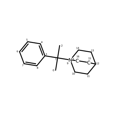 CC(C)(c1ccccc1)[N+]12CCC(CC1)CC2